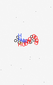 CC(=O)Oc1ccc(C(OC(=O)CO/N=C(\C(=O)O)c2csc(NC(c3ccccc3)(c3ccccc3)c3ccccc3)n2)(c2ccccc2)c2ccccc2)cc1OC(C)=O